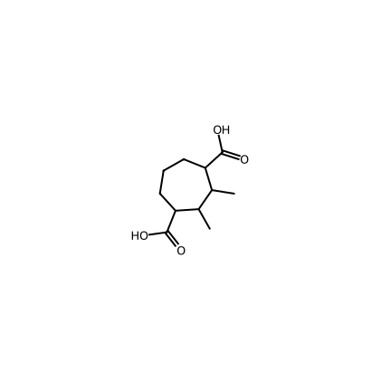 CC1C(C(=O)O)CCCC(C(=O)O)C1C